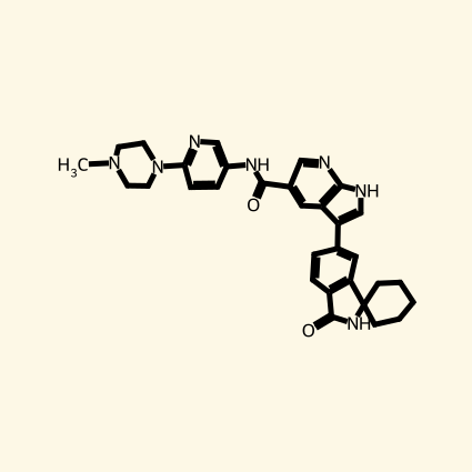 CN1CCN(c2ccc(NC(=O)c3cnc4[nH]cc(-c5ccc6c(c5)C5(CCCCC5)NC6=O)c4c3)cn2)CC1